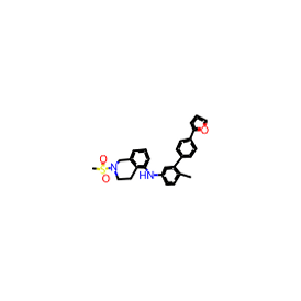 Cc1ccc(Nc2cccc3c2CCN(S(C)(=O)=O)C3)cc1-c1ccc(-c2ccco2)cc1